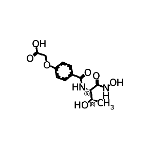 C[C@@H](O)[C@H](NC(=O)c1ccc(OCC(=O)O)cc1)C(=O)NO